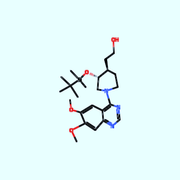 COc1cc2ncnc(N3CC[C@H](CCO)[C@@H](O[Si](C)(C)C(C)(C)C)C3)c2cc1OC